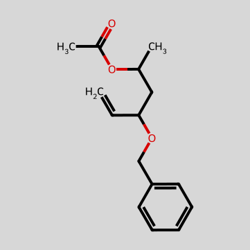 C=CC(CC(C)OC(C)=O)OCc1ccccc1